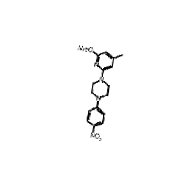 COc1cc(C)cc(N2CCN(c3ccc([N+](=O)[O-])cc3)CC2)n1